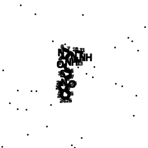 O=C(Nc1cnccc1N1CCNCC1)c1ccc(N2CCc3ccccc3C2=O)s1